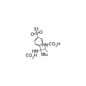 CCS(=O)(=O)c1ccc(C(NC(=O)O)(C(C)NC(=O)O)C(C)(C)C)cc1